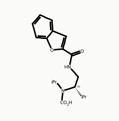 CC(C)[C@@H](CNC(=O)c1cc2ccccc2o1)N(C(=O)O)C(C)C